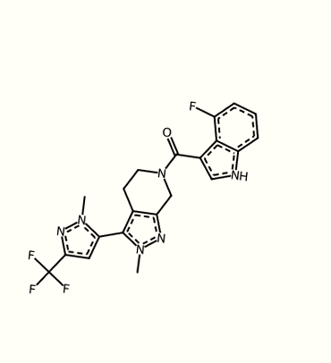 Cn1nc(C(F)(F)F)cc1-c1c2c(nn1C)CN(C(=O)c1c[nH]c3cccc(F)c13)CC2